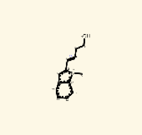 Cn1c(/C=C/CCO)cc2ccccc21